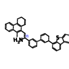 Cc1c(/C=C(\N)c2cccc(C3=CC(c4cccc5c4sc4ccccc45)CC=C3)c2)c2c(c3ccccc13)CCC=C2